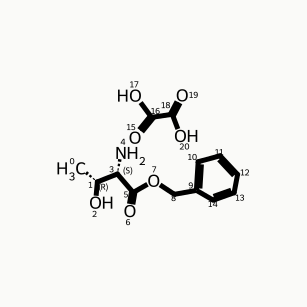 C[C@@H](O)[C@H](N)C(=O)OCc1ccccc1.O=C(O)C(=O)O